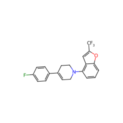 Fc1ccc(C2=CCN(c3cccc4oc(C(F)(F)F)cc34)CC2)cc1